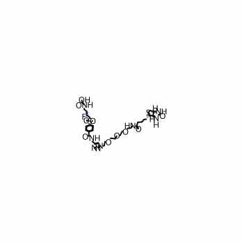 O=C(O)NC/C=C(\F)CS(=O)(=O)c1ccc(C(=O)NCc2cn(CCOCCOCCOCCNC(=O)CCCC[C@@H]3SC[C@@H]4NC(=O)N[C@@H]43)nn2)cc1